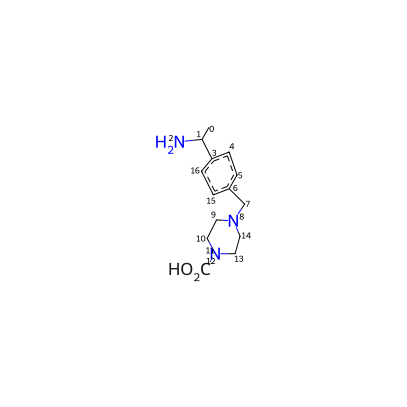 CC(N)c1ccc(CN2CCN(C(=O)O)CC2)cc1